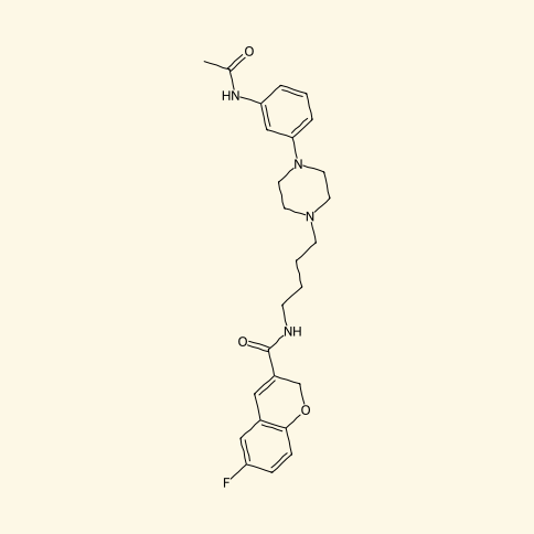 CC(=O)Nc1cccc(N2CCN(CCCCNC(=O)C3=Cc4cc(F)ccc4OC3)CC2)c1